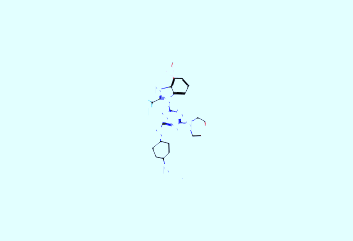 COc1cccc2c1nc(C(F)F)n2-c1nc(NC2CCC(N)CC2)nc(N2CCOCC2)n1